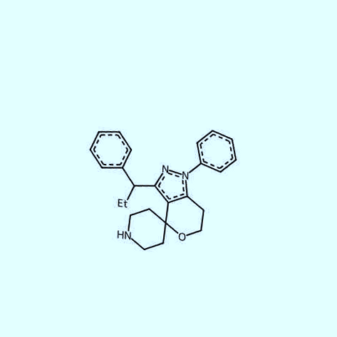 CCC(c1ccccc1)c1nn(-c2ccccc2)c2c1C1(CCNCC1)OCC2